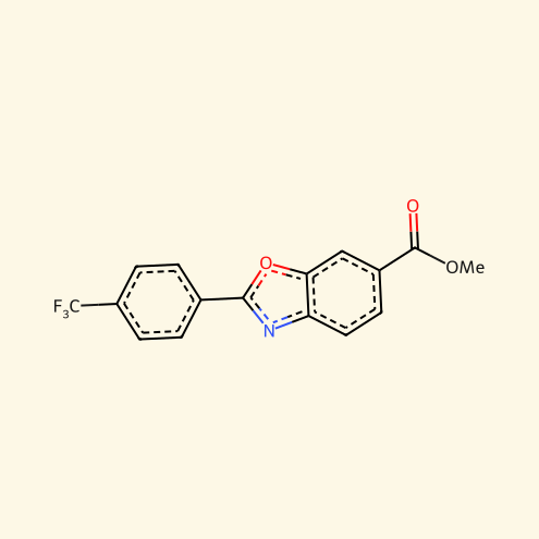 COC(=O)c1ccc2nc(-c3ccc(C(F)(F)F)cc3)oc2c1